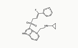 O=S(=O)(CC=C(F)c1ccccc1)c1c[nH]c2cccc(CCNC3CC3)c12